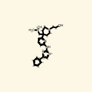 CN(C)CC1(c2cccc(Nc3ncc(-c4ccccc4)s3)n2)CCN(CCO)CC1